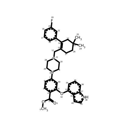 COC(=O)c1ccc(N2CCN(CC3=C(c4cccc(F)c4)CC(C)(C)CC3)CC2)cc1Oc1cccc2[nH]ccc12